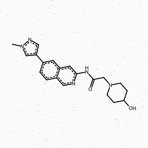 Cn1cc(-c2ccc3cnc(NC(=O)CN4CCC(O)CC4)cc3c2)cn1